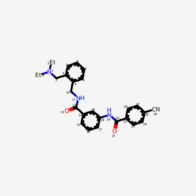 CCN(CC)Cc1ccccc1CNC(=O)c1cccc(NC(=O)c2ccc(C#N)cc2)c1